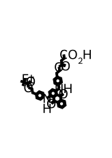 CCC(C)(C)C(=O)OCCc1ccc(Nc2ccc(Nc3ccc(CCOC(=O)CCC(=O)O)cc3)c3c2C(=O)c2ccccc2C3=O)cc1